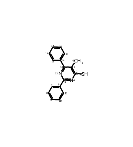 Cc1c(S)nc(-c2ccccc2)nc1-c1ccccc1